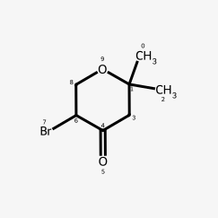 CC1(C)CC(=O)C(Br)CO1